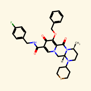 C[C@H]1CCN(C2CCSCC2)[C@@H]2Cn3cc(C(=O)NCc4ccc(F)cc4)c(=O)c(OCc4ccccc4)c3C(=O)N12